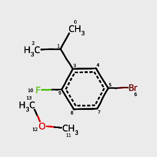 CC(C)c1cc(Br)ccc1F.COC